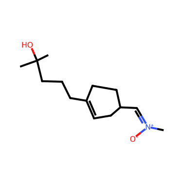 C[N+]([O-])=CC1CC=C(CCCC(C)(C)O)CC1